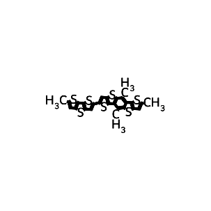 Cc1cc2sc3cc(-c4cc5sc6c(C)c7c(sc8cc(C)sc87)c(C)c6c5s4)sc3c2s1